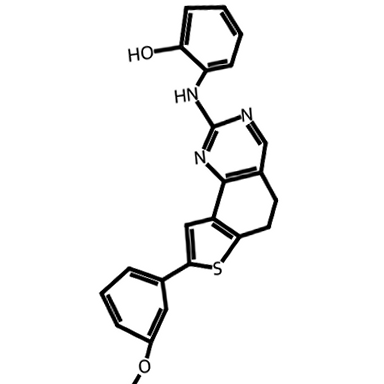 COc1cccc(-c2cc3c(s2)CCc2cnc(Nc4ccccc4O)nc2-3)c1